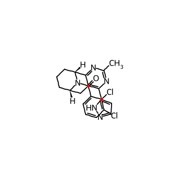 Cc1nc(-c2ccn[nH]2)c2c(n1)[C@H]1CCC[C@@H](C2)N1C(=O)c1cccc(Cl)c1Cl